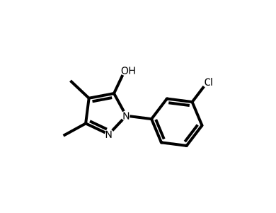 Cc1nn(-c2cccc(Cl)c2)c(O)c1C